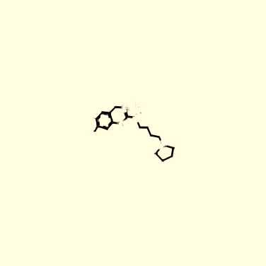 Cl.Cl.Clc1ccc2c(c1)NC(SCCCCN1CCCC1)=NC2